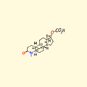 CN1C(=O)CC[C@]2(C)[C@H]3CC[C@]4(C)[C@@H](OC(=O)O)CC[C@H]4[C@@H]3CC[C@@H]12